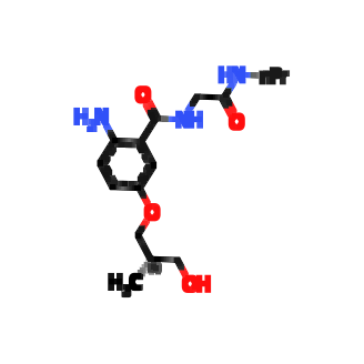 CCCNC(=O)CNC(=O)c1cc(OC[C@@H](C)CO)ccc1N